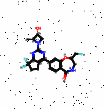 C[C@H]1[C@H](O)CN1c1nc(-c2ccc3c(c2)OC(CF)CNC3=O)c2c(n1)C(F)(F)CC2